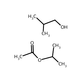 CC(=O)OC(C)C.CC(C)CO